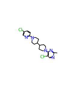 Cc1ncc(Cl)c(N2CCC(C3CCN(c4ccc(Cl)cn4)CC3)CC2)n1